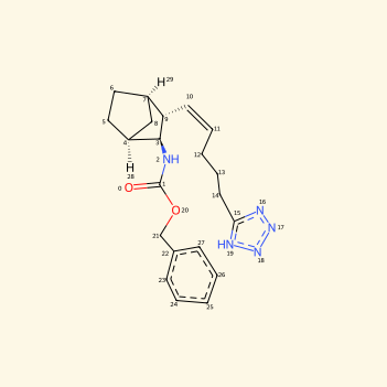 O=C(N[C@H]1[C@H]2CC[C@H](C2)[C@@H]1/C=C\CCCc1nnn[nH]1)OCc1ccccc1